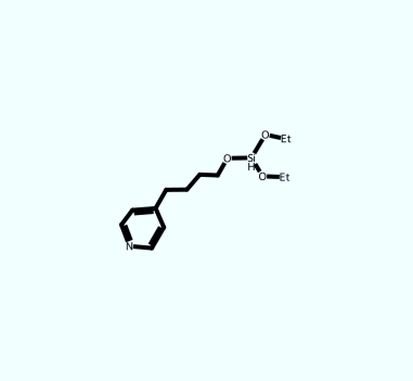 CCO[SiH](OCC)OCCCCc1ccncc1